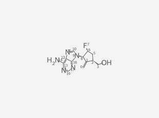 C=C1[C@H](CO)C[C@H](F)[C@@H]1n1cnc2c(N)ncnc21